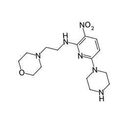 O=[N+]([O-])c1ccc(N2CCNCC2)nc1NCCN1CCOCC1